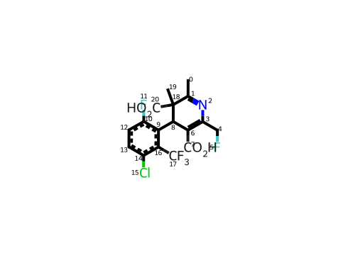 CC1=NC(CF)=C(C(=O)O)C(c2c(F)ccc(Cl)c2C(F)(F)F)C1(C)C(=O)O